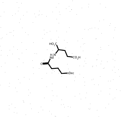 CCCCCCCCCCCCC[C](=O)[Na].NC(CCC(=O)O)C(=O)O